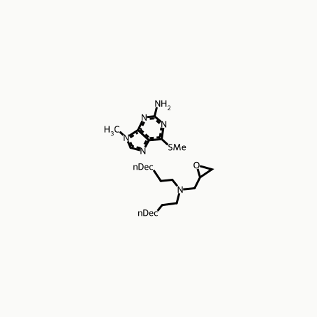 CCCCCCCCCCCCN(CCCCCCCCCCCC)CC1CO1.CSc1nc(N)nc2c1ncn2C